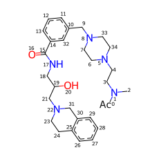 CC(=O)N(C)CCN1CCN(Cc2cccc(C(=O)NCC(O)CN3CCc4ccccc4C3)c2)CC1